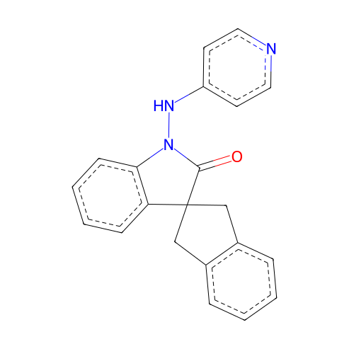 O=C1N(Nc2ccncc2)c2ccccc2C12Cc1ccccc1C2